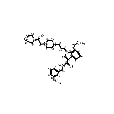 COc1cccc2c(C(=O)NCc3cccc(C)c3)cn(CCCN3CCN(CC(=O)N4CCOCC4)CC3)c12